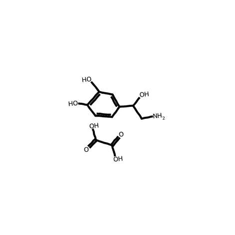 NCC(O)c1ccc(O)c(O)c1.O=C(O)C(=O)O